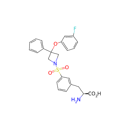 N[C@@H](Cc1cccc(S(=O)(=O)N2CC(Oc3cccc(F)c3)(c3ccccc3)C2)c1)C(=O)O